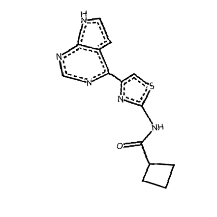 O=C(Nc1nc(-c2ncnc3[nH]ccc23)cs1)C1CCC1